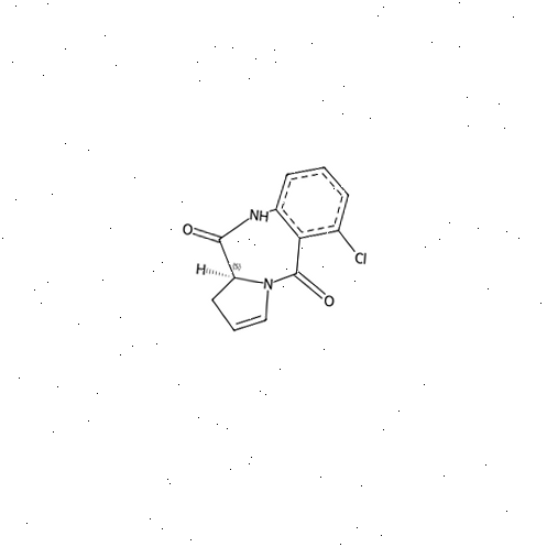 O=C1Nc2cccc(Cl)c2C(=O)N2C=CC[C@@H]12